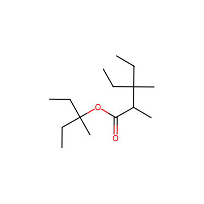 CCC(C)(CC)OC(=O)C(C)C(C)(CC)CC